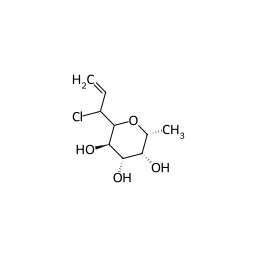 C=CC(Cl)C1O[C@H](C)[C@H](O)[C@H](O)[C@H]1O